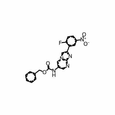 O=C(Nc1cnc2nc(-c3cc([N+](=O)[O-])ccc3F)cn2c1)OCc1ccccc1